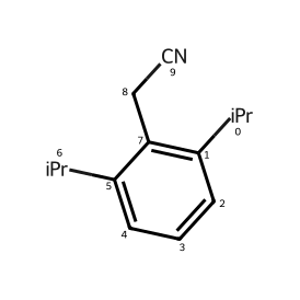 CC(C)c1cccc(C(C)C)c1CC#N